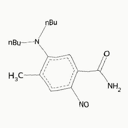 CCCCN(CCCC)c1cc(C(N)=O)c(N=O)cc1C